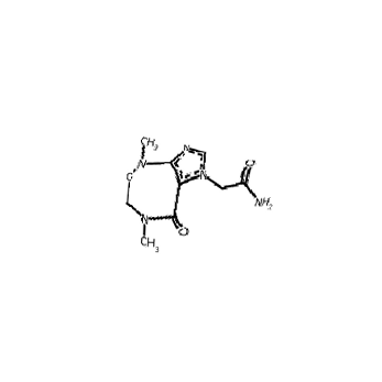 CN1CON(C)c2ncn(CC(N)=O)c2C1=O